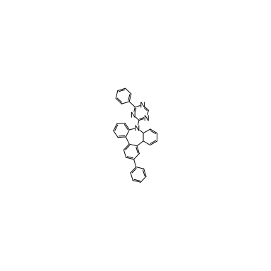 C1=CC2c3cc(-c4ccccc4)ccc3-c3ccccc3N(c3ncnc(-c4ccccc4)n3)C2C=C1